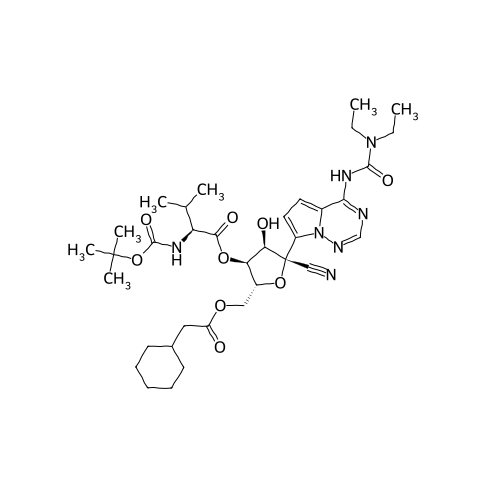 CCN(CC)C(=O)Nc1ncnn2c([C@]3(C#N)O[C@H](COC(=O)CC4CCCCC4)[C@@H](OC(=O)[C@@H](NC(=O)OC(C)(C)C)C(C)C)[C@H]3O)ccc12